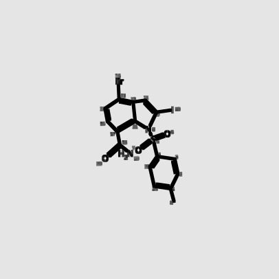 Cc1ccc(S(=O)(=O)n2c(I)cc3c(Br)ccc(C(N)=O)c32)cc1